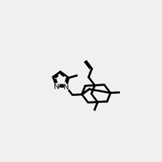 C=CCC12CC3(C)CC(C)(C1)CC(Cn1nccc1C)(C3)C2